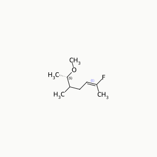 CO[C@@H](C)C(C)C/C=C(\C)F